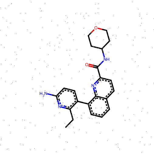 CCc1nc(N)ccc1-c1cccc2ccc(C(=O)NC3CCOCC3)nc12